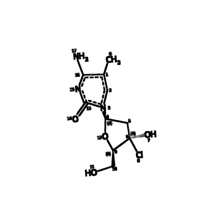 Cc1cn([C@H]2C[C@@](O)(Cl)[C@@H](CO)O2)c(=O)nc1N